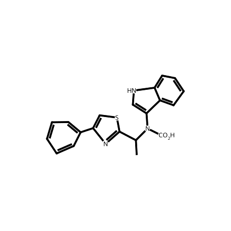 CC(c1nc(-c2ccccc2)cs1)N(C(=O)O)c1c[nH]c2ccccc12